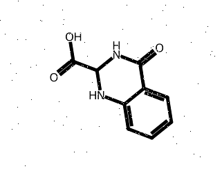 O=C1NC(C(=O)O)Nc2ccccc21